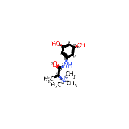 CC(C(=O)Nc1cc(O)cc(O)c1)[N+](C)(C)C